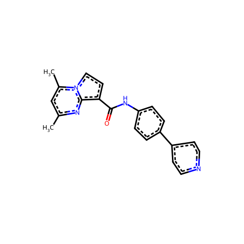 Cc1cc(C)n2ccc(C(=O)Nc3ccc(-c4ccncc4)cc3)c2n1